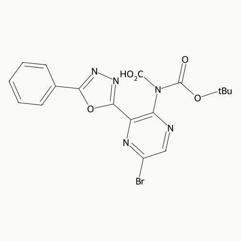 CC(C)(C)OC(=O)N(C(=O)O)c1ncc(Br)nc1-c1nnc(-c2ccccc2)o1